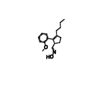 CCCCC1=C(c2ccccc2OC)C(C=NO)CC1